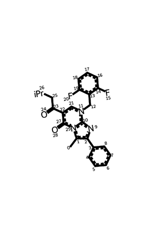 Cc1c(-c2ccccc2)nc2n(Cc3c(F)cccc3F)cc(C(=O)CC(C)C)c(=O)n12